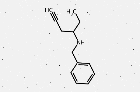 C#CCC(CC)NCc1ccccc1